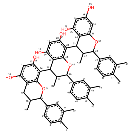 Cc1ccc(C2Oc3c(c(O)cc(O)c3C3c4c(O)cc(O)c(C5c6c(O)cc(O)cc6OC(c6ccc(C)c(C)c6)C5C)c4OC(c4ccc(C)c(C)c4)C3C)CC2C)cc1C